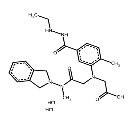 CCNNC(=O)c1ccc(C)c(N(CC(=O)O)CC(=O)N(C)N2Cc3ccccc3C2)c1.Cl.Cl